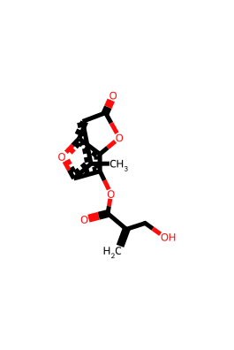 C=C(CO)C(=O)Oc1c2c3oc1c(C)c3C(=O)O2